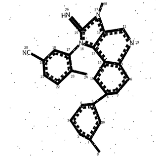 Cc1cccc(-c2ccc3ncc4c(c3c2)n(-c2cc(C#N)ccc2C)c(=N)n4C)c1